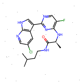 CC(C)CCNC(=O)[C@H](C)Nc1nc(-c2c[nH]c3ncc(Cl)cc23)ncc1F